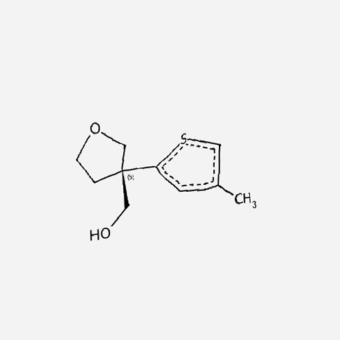 Cc1csc([C@]2(CO)CCOC2)c1